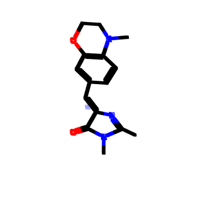 CC1=N/C(=C\c2ccc3c(c2)OCCN3C)C(=O)N1C